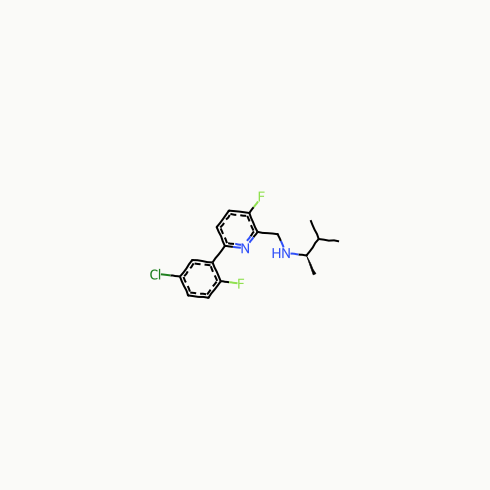 CC(C)[C@@H](C)NCc1nc(-c2cc(Cl)ccc2F)ccc1F